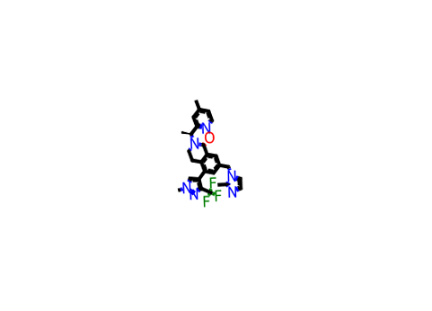 Cc1ccnc([C@H](C)N2CCc3c(cc(Cn4ccnc4C)cc3-c3cn(C)nc3C(F)(F)F)C2=O)c1